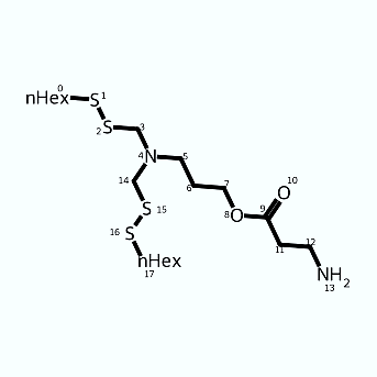 CCCCCCSSCN(CCCOC(=O)CCN)CSSCCCCCC